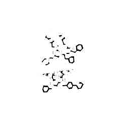 CC(C)c1nc(CN(C)C(=O)N[C@@H](CCN2CCOCC2)C(=O)N[C@H](CC[C@H](Cc2ccccc2)NC(=O)OCc2cncs2)Cc2ccccc2)cs1.COC(=O)N[C@H](C(=O)N[C@@H](Cc1ccccc1)[C@@H](O)CN(Cc1ccc(-c2ccccn2)cc1)NC(=O)[C@@H](NC(=O)OC)C(C)(C)C)C(C)(C)C